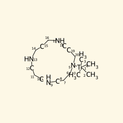 [CH3][Ti]([CH3])([CH3])([CH3])[N]1CCCNCCCNCCCNCCC1